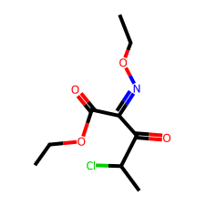 CCON=C(C(=O)OCC)C(=O)C(C)Cl